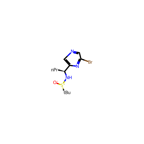 CCC[C@H](N[S@+]([O-])C(C)(C)C)c1cncc(Br)n1